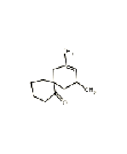 CC1=CC(C)CC2(CCCCC2=O)C1